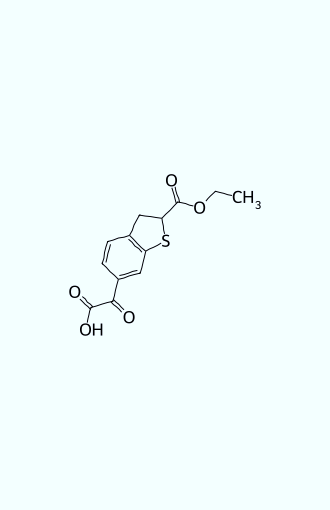 CCOC(=O)C1Cc2ccc(C(=O)C(=O)O)cc2S1